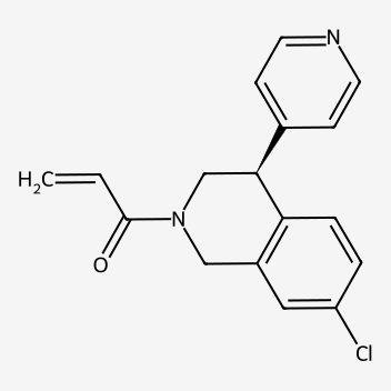 C=CC(=O)N1Cc2cc(Cl)ccc2[C@H](c2ccncc2)C1